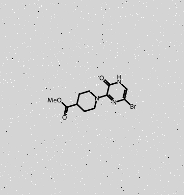 COC(=O)C1CCN(c2nc(Br)c[nH]c2=O)CC1